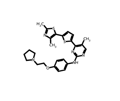 Cc1nc(C)c(-c2ccc(-c3nc(Nc4ccc(OCCN5CCCC5)cc4)ncc3C)s2)s1